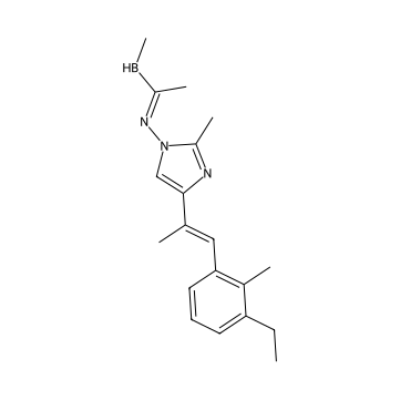 CB/C(C)=N/n1cc(/C(C)=C/c2cccc(CC)c2C)nc1C